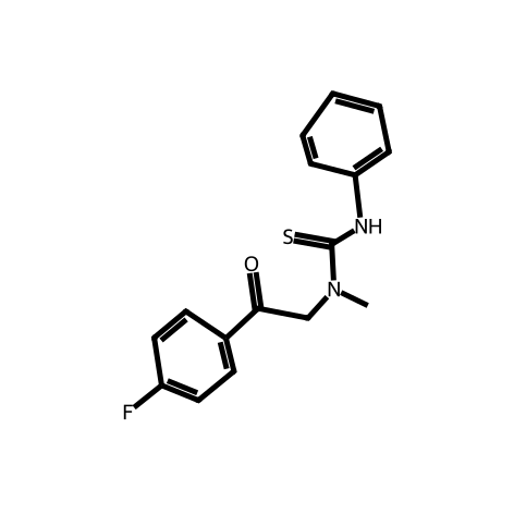 CN(CC(=O)c1ccc(F)cc1)C(=S)Nc1ccccc1